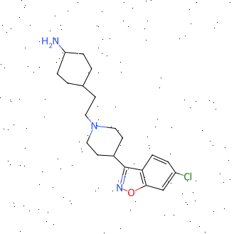 NC1CCC(CCN2CCC(c3noc4cc(Cl)ccc34)CC2)CC1